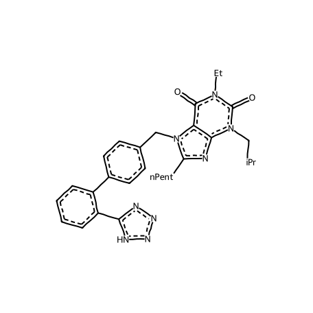 CCCCCc1nc2c(c(=O)n(CC)c(=O)n2CC(C)C)n1Cc1ccc(-c2ccccc2-c2nnn[nH]2)cc1